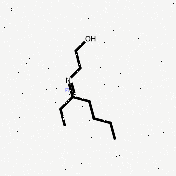 CCCC/C(CC)=N\CCO